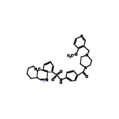 COc1ccncc1CN1CCN(C(=O)c2ccc(NS(=O)(=O)c3cccc(C)c3/N=C\C3CCCCC3)cc2)CC1